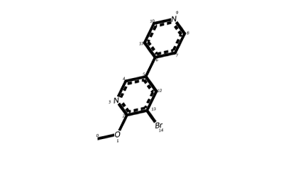 COc1ncc(-c2ccncc2)cc1Br